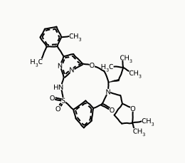 Cc1cccc(C)c1-c1cc2nc(n1)NS(=O)(=O)c1cccc(c1)C(=O)N(CC1CCC(C)(C)O1)[C@H](CC(C)(C)C)CO2